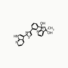 C[C@@]1(O)C[C@@](O)(c2cccc(-c3csc(-c4c[nH]c5ncccc45)n3)c2)c2ncccc21